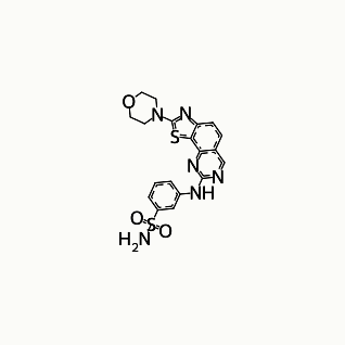 NS(=O)(=O)c1cccc(Nc2ncc3ccc4nc(N5CCOCC5)sc4c3n2)c1